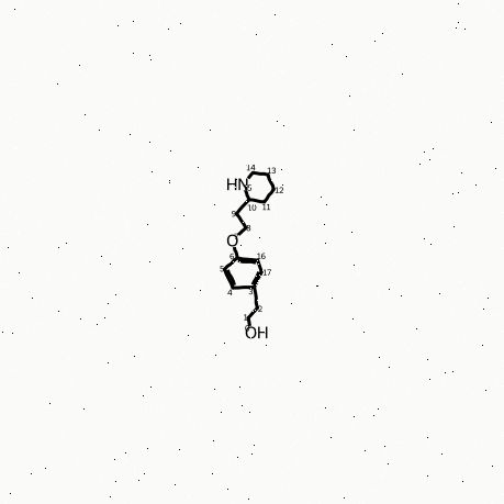 OCCc1ccc(OCCC2CCCCN2)cc1